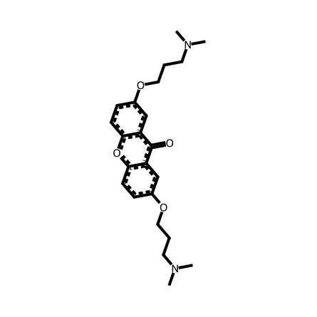 CN(C)CCCOc1ccc2oc3ccc(OCCCN(C)C)cc3c(=O)c2c1